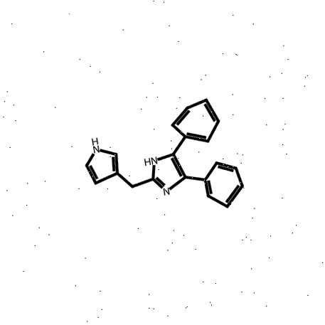 c1ccc(-c2nc(Cc3cc[nH]c3)[nH]c2-c2ccccc2)cc1